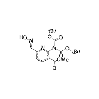 COC(=O)c1ccc(C=NO)nc1N(C(=O)OC(C)(C)C)C(=O)OC(C)(C)C